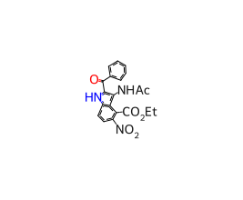 CCOC(=O)c1c([N+](=O)[O-])ccc2[nH]c(C(=O)c3ccccc3)c(NC(C)=O)c12